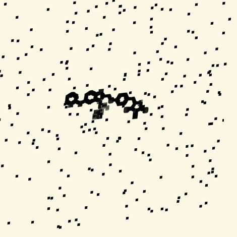 Cl.Cl.Cn1c(COc2ccc(CC3SC(=O)NC3=O)cc2)nc2ccc(Sc3ccccn3)cc21